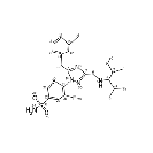 CCC(C)C(NCc1nc(Cc2cccc(C)c2)n(-c2ccc(S(N)(=O)=O)cc2F)n1)C(C)C